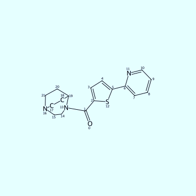 O=C(c1ccc(-c2ccccn2)s1)N1CCN2CCC1CC2